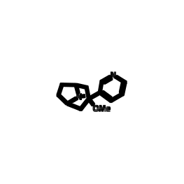 COC1(c2cccnc2)CC2CCC(C1)N2C